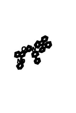 c1ccc(-c2ccc(N(c3ccc4c(c3)C(c3ccccc3)(c3ccccc3)c3ccccc3-4)c3ccc4oc5c6ccccc6c(-c6nc7ccccc7o6)cc5c4c3)cc2)cc1